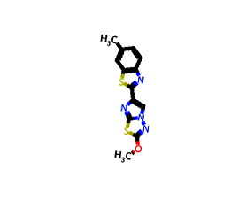 COc1nn2cc(-c3nc4ccc(C)cc4s3)nc2s1